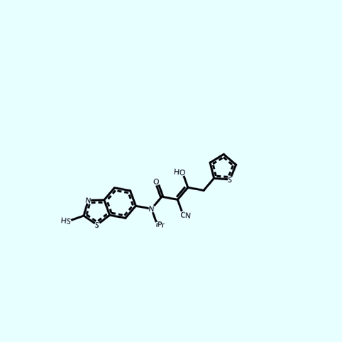 CC(C)N(C(=O)/C(C#N)=C(\O)Cc1cccs1)c1ccc2nc(S)sc2c1